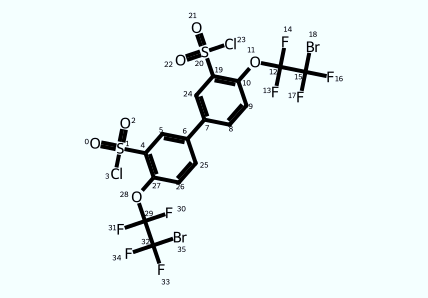 O=S(=O)(Cl)c1cc(-c2ccc(OC(F)(F)C(F)(F)Br)c(S(=O)(=O)Cl)c2)ccc1OC(F)(F)C(F)(F)Br